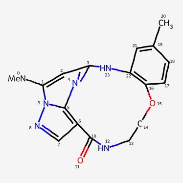 CNc1cc2nc3c(cnn13)C(=O)NCCOc1ccc(C)cc1N2